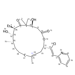 CC[C@H]1C(=O)C(C)(C)[C@@H](O)CC(=O)O[C@H](C(Cl)=Cc2ccccn2)C/C=C(/C)CCC[C@H](C)[C@@H]1O